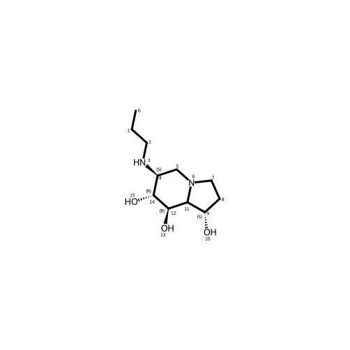 CCCN[C@H]1CN2CC[C@H](O)C2[C@@H](O)[C@@H]1O